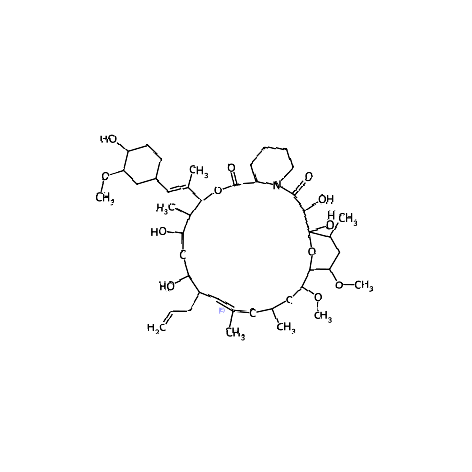 C=CCC1/C=C(\C)CC(C)CC(OC)C2OC(O)(C(C)CC2OC)C(O)C(=O)N2CCCCC2C(=O)OC(C(C)=CC2CCC(O)C(OC)C2)C(C)C(O)CC1O